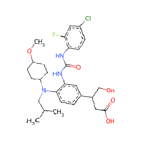 COC1CCC(N(CC(C)C)c2ccc(C(CO)CC(=O)O)cc2NC(=O)Nc2ccc(Cl)cc2F)CC1